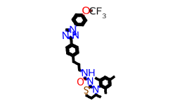 Cc1cc(C)c(N2/C(=N/C(=O)NCCCc3ccc(-c4ncn(-c5ccc(OC(F)(F)F)cc5)n4)cc3)SCCC2C)c(C)c1